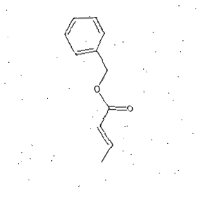 CC=CC(=O)OCc1ccccc1